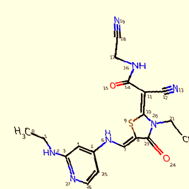 CCNc1cc(NC=c2sc(=C(C#N)C(=O)NCC#N)n(CC)c2=O)ccn1